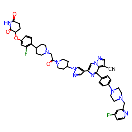 N#Cc1cnn2cc(-c3cnn(C4CCN(C(=O)CN5CCC(c6ccc(OC7CCC(=O)NC7=O)cc6F)CC5)CC4)c3)nc(-c3ccc(N4CCN(Cc5cc(F)ccn5)CC4)cc3)c12